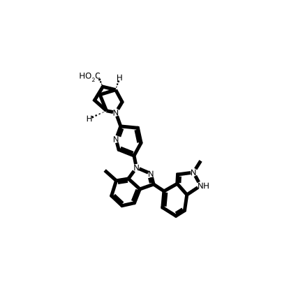 Cc1cccc2c(C3=CC=CC4NN(C)C=C34)nn(-c3ccc(N4C[C@H]5C[C@@H]4C[C@@H]5C(=O)O)nc3)c12